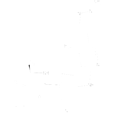 Cc1c(-c2cnn(C)c2)cnc2[nH]cc(/C=C(\C#N)C(=O)N[C@H](C)c3ccccc3)c12